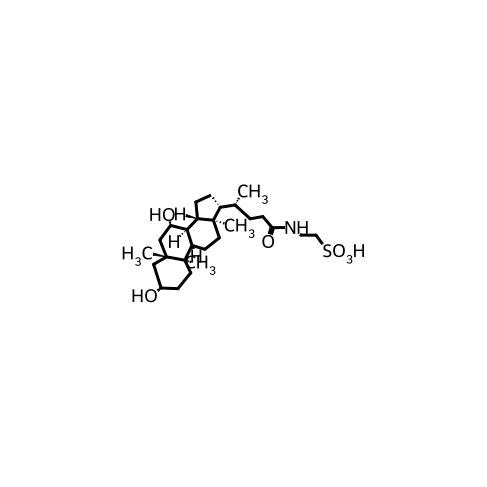 C[C@H](CCC(=O)NCCS(=O)(=O)O)[C@H]1CC[C@H]2[C@@H]3[C@@H](O)C[C@@]4(C)C[C@H](O)CC[C@]4(C)[C@H]3CC[C@]12C